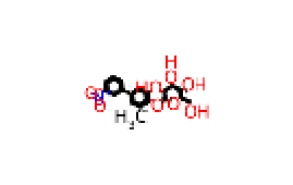 Cc1cc(-c2cccc([N+](=O)[O-])c2)ccc1O[C@H]1OC(CO)[C@@H](O)C(O)C1O